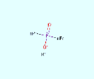 CCCP(=O)([O-])CCC.[K+]